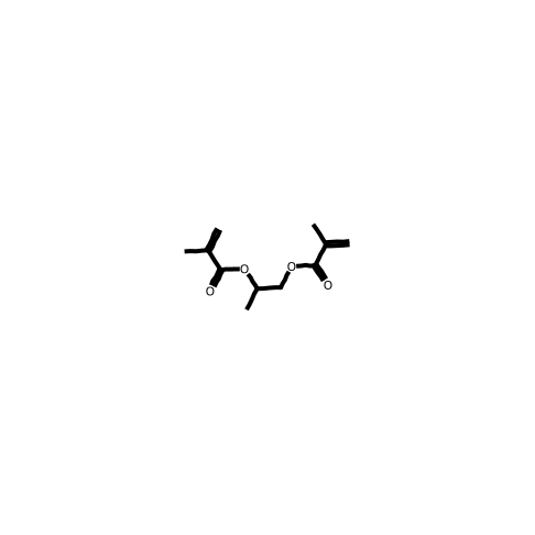 C=C(C)C(=O)OCC(C)OC(=O)C(=C)C